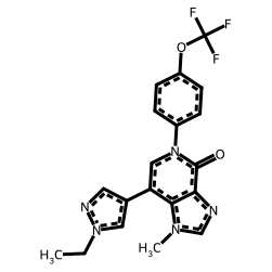 CCn1cc(-c2cn(-c3ccc(OC(F)(F)F)cc3)c(=O)c3ncn(C)c23)cn1